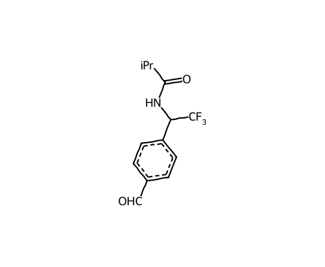 CC(C)C(=O)NC(c1ccc(C=O)cc1)C(F)(F)F